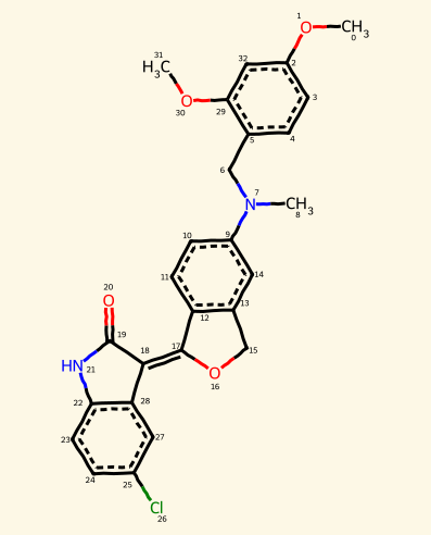 COc1ccc(CN(C)c2ccc3c(c2)COC3=C2C(=O)Nc3ccc(Cl)cc32)c(OC)c1